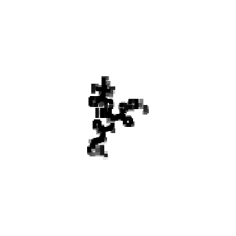 C/C=C/C(=O)C[C@H](NOC(=O)C(F)(F)F)C(=O)OC